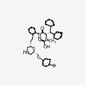 CN(C(=O)O)[C@H](C(=O)Nc1ccccc1CC[C@@H]1CNC[C@@H](COc2ccc(Br)cc2)O1)C(c1ccccc1)c1ccccc1